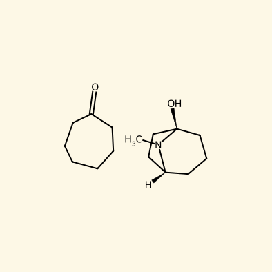 CN1[C@@H]2CCC[C@@]1(O)CC2.O=C1CCCCCC1